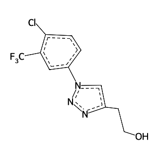 OCCc1cn(-c2ccc(Cl)c(C(F)(F)F)c2)nn1